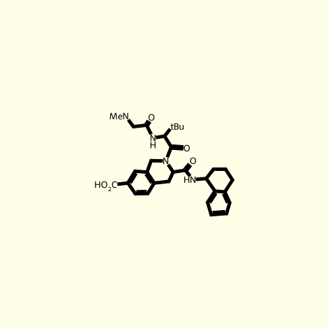 CNCC(=O)NC(C(=O)N1Cc2cc(C(=O)O)ccc2CC1C(=O)NC1CCCc2ccccc21)C(C)(C)C